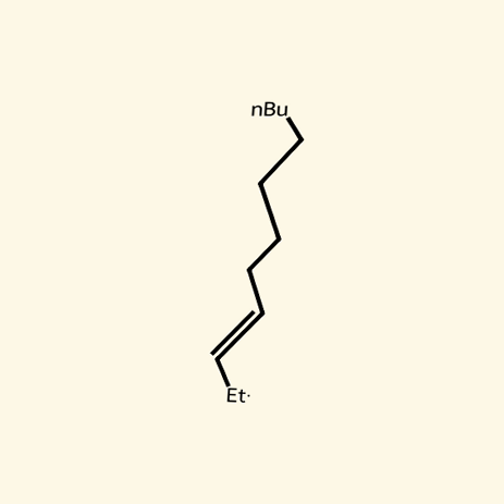 [CH2]CCCCCCC/C=C/[CH]C